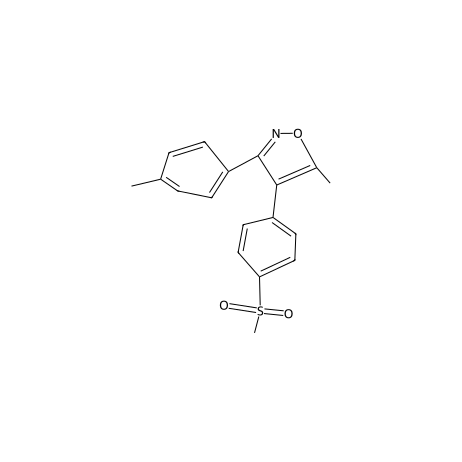 Cc1ccc(-c2noc(C)c2-c2ccc(S(C)(=O)=O)cc2)cc1